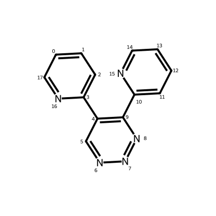 c1ccc(-c2cnnnc2-c2ccccn2)nc1